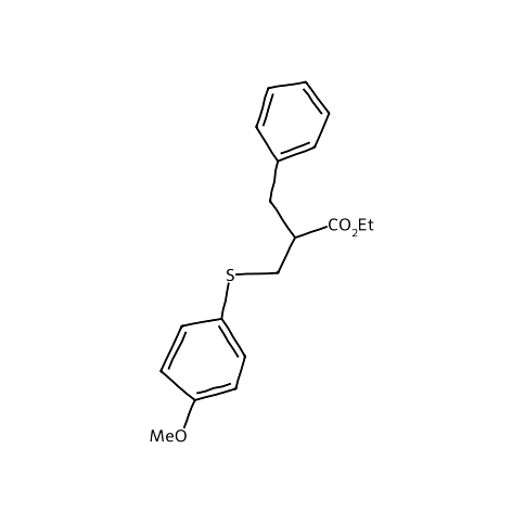 CCOC(=O)C(CSc1ccc(OC)cc1)Cc1ccccc1